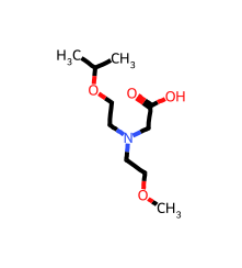 COCCN(CCOC(C)C)CC(=O)O